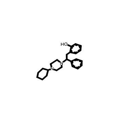 Oc1ccccc1CC(c1ccccc1)N1CCN(C2CCCCC2)CC1